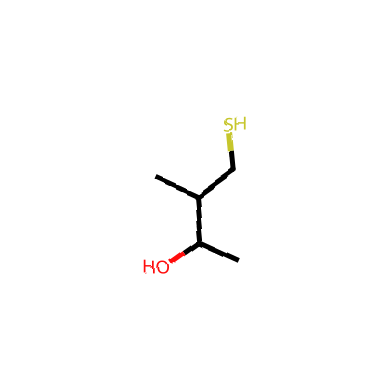 CC(O)C(C)CS